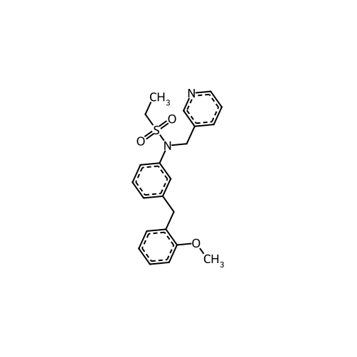 CCS(=O)(=O)N(Cc1cccnc1)c1cccc(Cc2ccccc2OC)c1